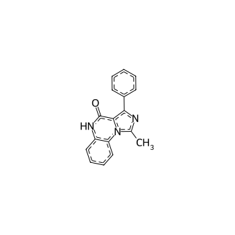 Cc1nc(-c2ccccc2)c2c(=O)[nH]c3ccccc3n12